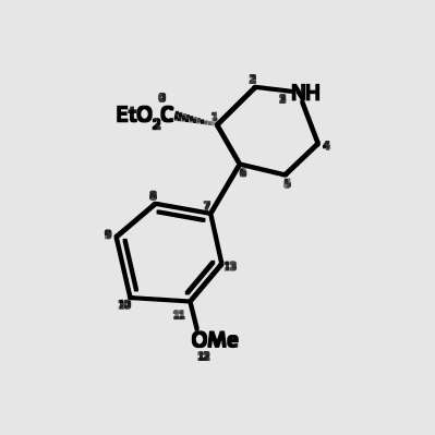 CCOC(=O)[C@@H]1CNCCC1c1cccc(OC)c1